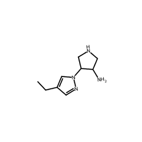 CCc1cnn(C2CNCC2N)c1